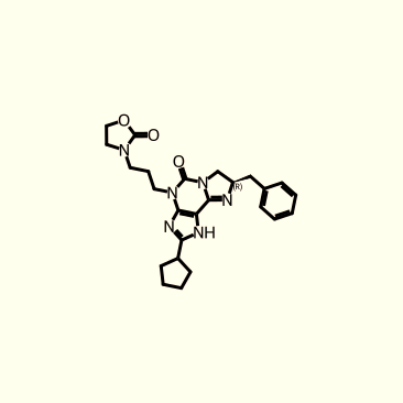 O=C1OCCN1CCCN1C(=O)N2C[C@@H](Cc3ccccc3)N=C2c2[nH]c(C3CCCC3)nc21